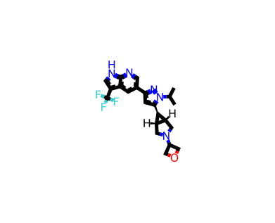 CC(C)n1nc(-c2cnc3[nH]cc(C(F)(F)F)c3c2)cc1[C@H]1[C@@H]2CN(C3COC3)C[C@@H]21